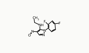 CCNc1c(N=O)cnn1-c1ccc(F)cc1F